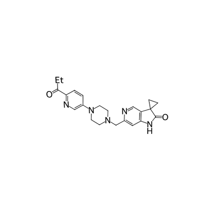 CCC(=O)c1ccc(N2CCN(Cc3cc4c(cn3)C3(CC3)C(=O)N4)CC2)cn1